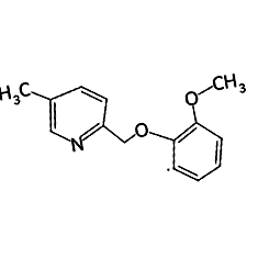 COc1ccc[c]c1OCc1ccc(C)cn1